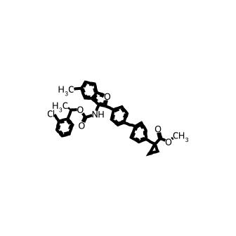 COC(=O)C1(c2ccc(-c3ccc(-c4oc5ccc(C)cc5c4NC(=O)O[C@H](C)c4ccccc4Cl)cc3)cc2)CC1